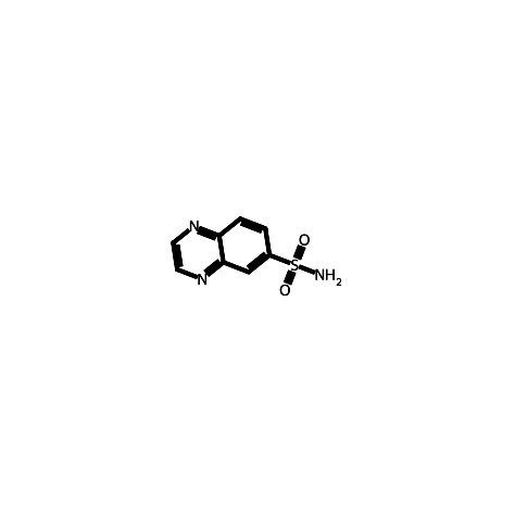 NS(=O)(=O)c1ccc2nccnc2c1